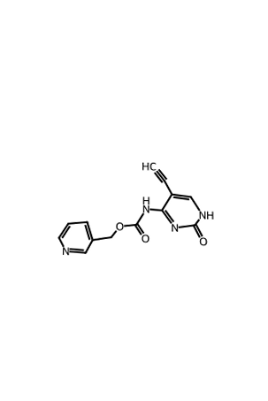 C#Cc1c[nH]c(=O)nc1NC(=O)OCc1cccnc1